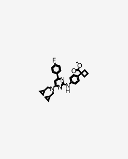 COC(=O)C1(c2ccc(Nc3nc(-c4ccc(F)cc4)cc(N(CC4CC4)CC4CC4)n3)cc2)CCC1